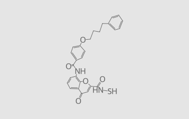 O=C(Nc1cccc2c(=O)cc(C(=O)NS)oc12)c1ccc(OCCCCc2ccccc2)cc1